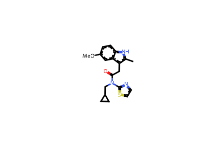 COc1ccc2[nH]c(C)c(CC(=O)N(CC3CC3)c3nccs3)c2c1